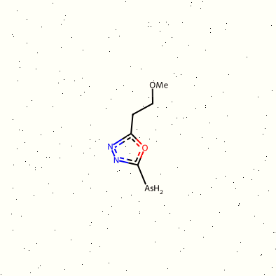 COCCc1nnc([AsH2])o1